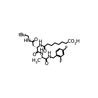 C[C@H](NC(=O)[C@H](CC(=O)NCC(C)(C)C)NC(=O)CCCCCCC(=O)O)C(=O)NCc1ccc(F)cc1F